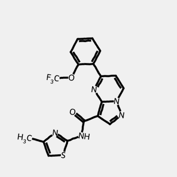 Cc1csc(NC(=O)c2cnn3ccc(-c4ccccc4OC(F)(F)F)nc23)n1